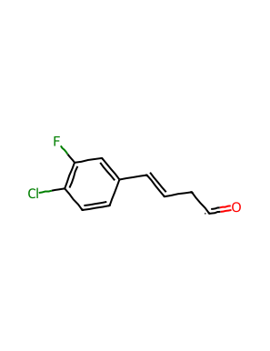 O=[C]CC=Cc1ccc(Cl)c(F)c1